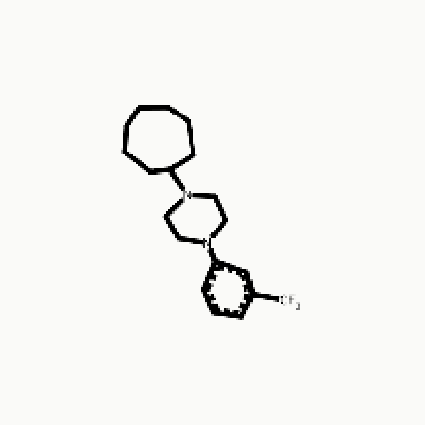 FC(F)(F)c1cccc(N2CCN(C3CCCCCCC3)CC2)c1